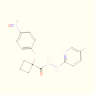 O=C(NNc1ccc(Cl)cn1)C1(Oc2ccc([N+](=O)[O-])cc2)CCC1